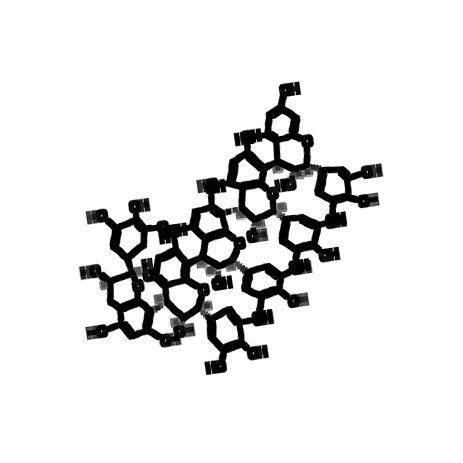 OC1=CC([C@H]2Oc3c(c(O)cc(O)c3[C@@H]3c4c(O)cc(O)c([C@H]5c6c(O)cc(O)c([C@@H]7c8c(O)cc(O)c([C@H]9c%10c(O)cc(O)cc%10O[C@H](c%10cc(O)c(O)c(O)c%10)[C@@H]9O)c8O[C@H](c8cc(O)c(O)c(O)c8)[C@@H]7O)c6O[C@H](c6cc(O)c(O)c(O)c6)[C@@H]5O)c4O[C@H](c4cc(O)c(O)c(O)c4)[C@@H]3O)C[C@H]2O)CC(O)=C1O